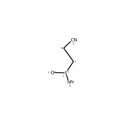 CCC[S+]([O-])CCC#N